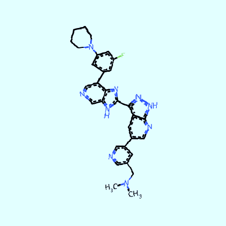 CN(C)Cc1cncc(-c2cnc3[nH]nc(-c4nc5c(-c6cc(F)cc(N7CCCCC7)c6)cncc5[nH]4)c3c2)c1